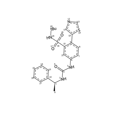 C[C@H](NC(=O)Nc1ccc(-c2cn[c]s2)c(S(=O)(=O)NC(C)(C)C)c1)c1ccccc1